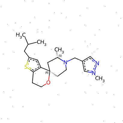 CC(C)Cc1cc2c(s1)CCO[C@@]21CCN(Cc2cnn(C)c2)[C@@H](C)C1